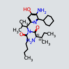 CCCCCC(=O)N(C(=O)[C@@H](N)[C@@H](C)CC)C(c1cc(O)c(N)c(C2CCCCC2)n1)C(C)C